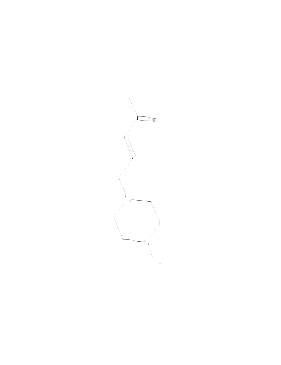 CC(=O)/C=C/CN1CCN(O)CC1